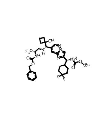 CC(C)(C)OC(=O)N[C@H](c1cn2ncc([C@H](NC[C@H](NC(=O)OCc3ccccc3)C(F)(F)F)C3(C#N)CCC3)cc2n1)C1CCC(F)(F)CC1